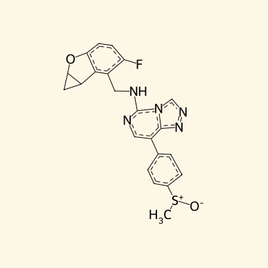 C[S+]([O-])c1ccc(-c2cnc(NCc3c(F)ccc4c3C3CC3O4)n3cnnc23)cc1